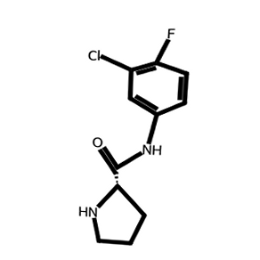 O=C(Nc1ccc(F)c(Cl)c1)[C@@H]1CCCN1